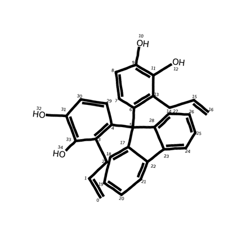 C=CCc1c(C2(c3ccc(O)c(O)c3CC=C)c3ccccc3-c3ccccc32)ccc(O)c1O